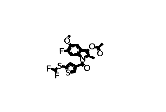 COc1cc2c(OC(C)=O)c(C)n(C(=O)c3csc(SC(F)F)c3)c2cc1F